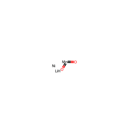 [LiH].[Ni].[O]=[Mn]=[O]